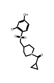 O=C(C1CC1)N1CCC(CS(=O)(=O)c2ccc(O)cc2Cl)CC1